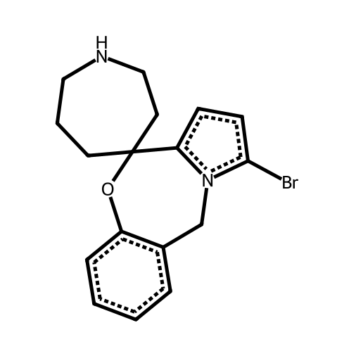 Brc1ccc2n1Cc1ccccc1OC21CCCNCC1